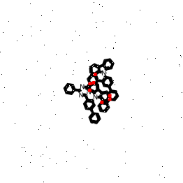 c1ccc(-c2cccc(-c3ccc(-n4c5ccccc5c5ccccc54)c(-c4cccc(-c5nc(-c6ccccc6)nc(-c6ccc(-c7ccccc7)cc6-n6c7ccccc7c7ccccc76)n5)c4)c3)c2)cc1